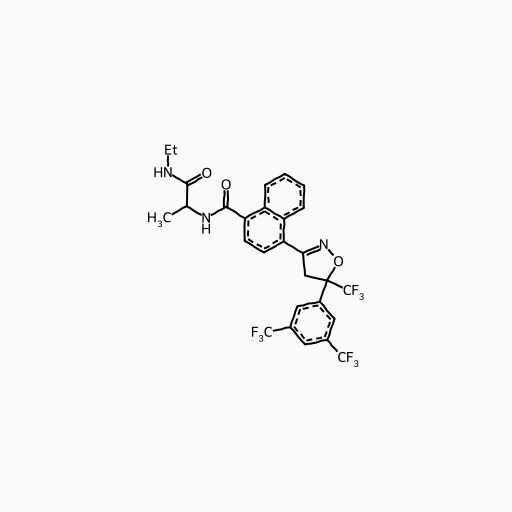 CCNC(=O)C(C)NC(=O)c1ccc(C2=NOC(c3cc(C(F)(F)F)cc(C(F)(F)F)c3)(C(F)(F)F)C2)c2ccccc12